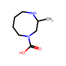 CC1CN(C(=O)O)CCCCN1